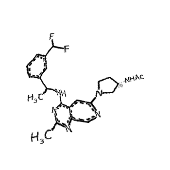 CC(=O)N[C@H]1CCN(c2cc3c(NC(C)c4cccc(C(F)F)c4)nc(C)nc3cn2)C1